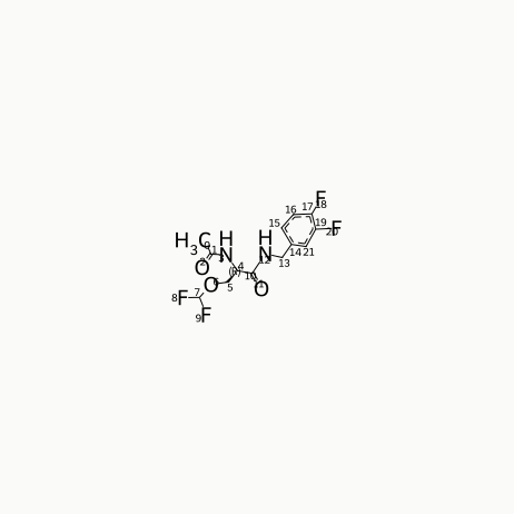 CC(=O)N[C@H](COC(F)F)C(=O)NCc1ccc(F)c(F)c1